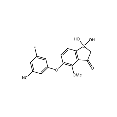 COc1c(Oc2cc(F)cc(C#N)c2)ccc2c1C(=O)CS2(O)O